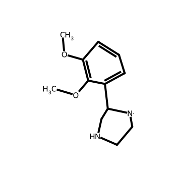 COc1cccc(C2CNCC[N]2)c1OC